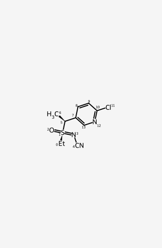 CC[S@](=O)(=NC#N)[C@@H](C)c1ccc(Cl)nc1